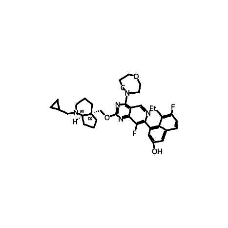 CCc1c(F)ccc2cc(O)cc(-c3ncc4c(N5CCCOCC5)nc(OC[C@]56CCC[C@H]5N(CC5CC5)CCC6)nc4c3F)c12